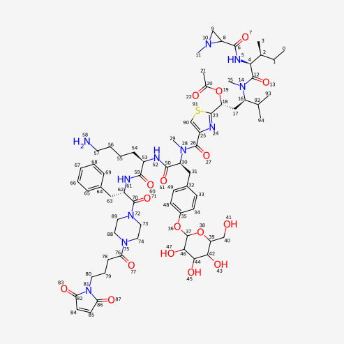 CC[C@H](C)[C@H](NC(=O)C1CN1C)C(=O)N(C)[C@H](C[C@@H](OC(C)=O)c1nc(C(=O)N(C)[C@@H](Cc2ccc(OC3OC(CO)C(O)C(O)C3O)cc2)C(=O)N[C@H](CCCCN)C(=O)N[C@@H](Cc2ccccc2)C(=O)N2CCN(C(=O)CCCN3C(=O)C=CC3=O)CC2)cs1)C(C)C